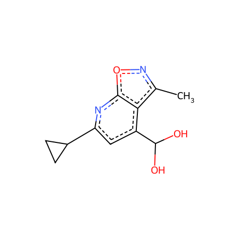 Cc1noc2nc(C3CC3)cc(C(O)O)c12